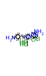 Cl.Cl.Cl.Nc1nc(Cl)c(Cl)c(N2CCN(CC[C@H]3CC[C@H](N)CC3)CC2)n1